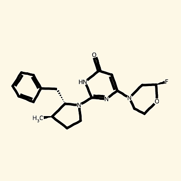 C[C@@H]1CCN(c2nc(N3CCO[C@H](F)C3)cc(=O)[nH]2)[C@H]1Cc1ccccc1